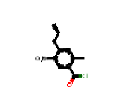 C=CCc1cc(C)c(C(=O)Cl)cc1[N+](=O)[O-]